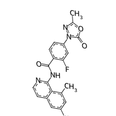 Cc1nn(-c2ccc(C(=O)Nc3nccc4cc(Cl)cc(C)c34)c(F)c2)c(=O)o1